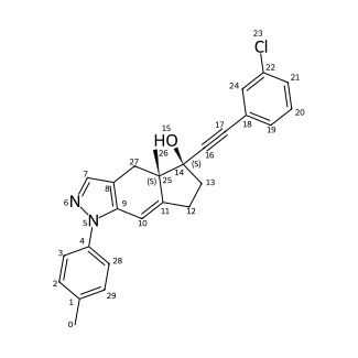 Cc1ccc(-n2ncc3c2C=C2CC[C@@](O)(C#Cc4cccc(Cl)c4)[C@@]2(C)C3)cc1